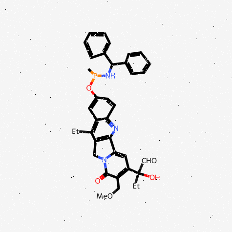 CCc1c2c(nc3ccc(OP(C)NC(c4ccccc4)c4ccccc4)cc13)-c1cc(C(O)(C=O)CC)c(COC)c(=O)n1C2